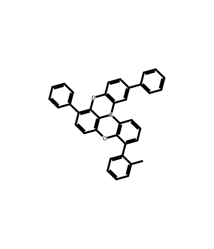 Cc1ccccc1-c1cccc2c1Oc1ccc(-c3ccccc3)c3c1B2c1cc(-c2ccccc2)ccc1O3